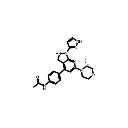 CC(=O)Nc1ccc(-c2cc(N3CCOC[C@H]3C)nc3c2CNN3c2cc[nH]n2)cc1